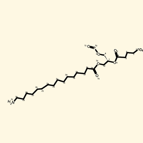 CCCCCCCCCCCCCC(=O)O[C@@H](COP=O)COC(=O)CCCCCCCCCCCCCCCN